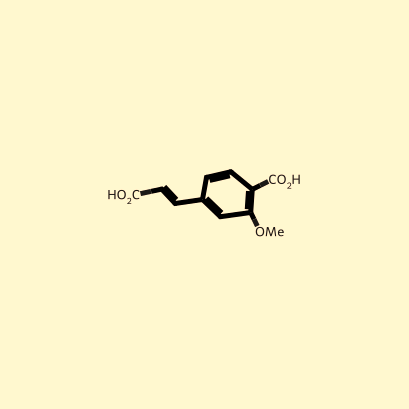 COc1cc(C=CC(=O)O)ccc1C(=O)O